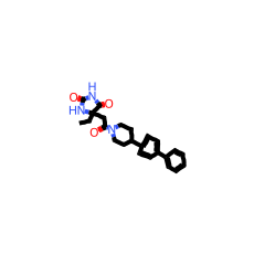 CCC1(CC(=O)N2CCC(c3ccc(-c4ccccc4)cc3)CC2)NC(=O)NC1=O